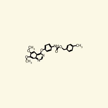 COc1cc2ncnc(Oc3ccc(NC(=O)OCc4ccc(C)cc4)cc3)c2cc1OC